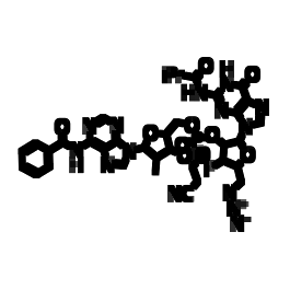 CC(C)C(=O)Nc1nc2c(ncn2C2OC(CN=[N+]=[N-])C(F)C2OP(=O)(OCCC#N)OCC2OC(n3cnc4c(NC(=O)c5ccccc5)ncnc43)C(C)C2O)c(=O)[nH]1